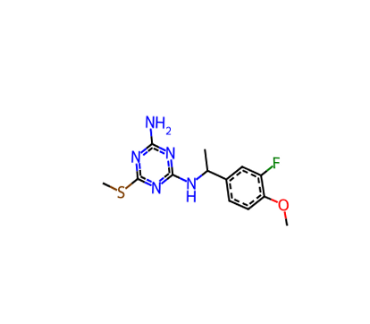 COc1ccc(C(C)Nc2nc(N)nc(SC)n2)cc1F